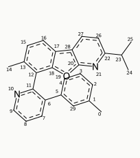 Cc1cccc(-c2cccnc2-c2c(C)ccc3c2oc2nc(C(C)C)ccc23)c1